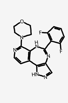 Fc1cccc(F)c1C1=Nc2cn[nH]c2-c2ccnc(N3CCOCC3)c2N1